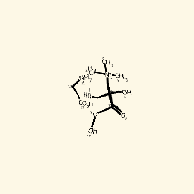 C[N+](C)(C)C(O)(O)C(=O)OO.NCC(=O)O